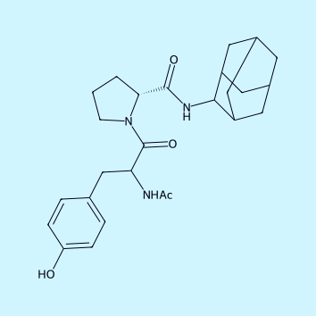 CC(=O)NC(Cc1ccc(O)cc1)C(=O)N1CCC[C@@H]1C(=O)NC1C2CC3CC(C2)CC1C3